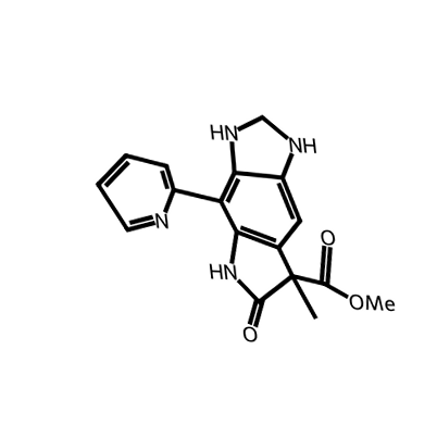 COC(=O)C1(C)C(=O)Nc2c1cc1c(c2-c2ccccn2)NCN1